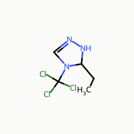 CCC1NN=CN1C(Cl)(Cl)Cl